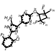 Nc1[nH]c(-c2c(F)cccc2Cl)nc1-c1cnc(OC2C(F)(F)CC2(F)F)nc1